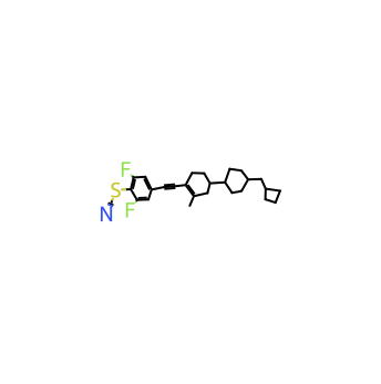 CC1=C(C#Cc2cc(F)c(SC#N)c(F)c2)CCC(C2CCC(CC3CCC3)CC2)C1